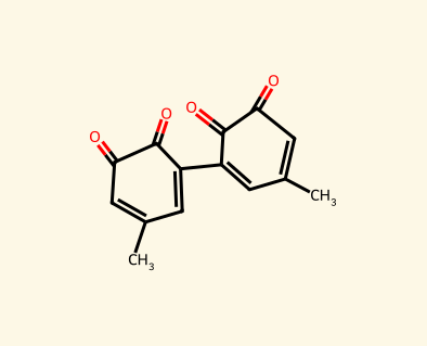 CC1=CC(=O)C(=O)C(C2=CC(C)=CC(=O)C2=O)=C1